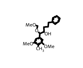 COCOC(c1cc(OC)c(C)c(OC)c1)C(O)CCCc1ccccc1